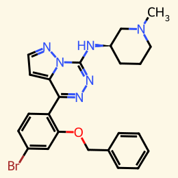 CN1CCC[C@@H](Nc2nnc(-c3ccc(Br)cc3OCc3ccccc3)c3ccnn23)C1